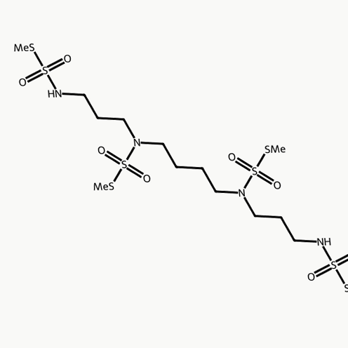 CSS(=O)(=O)NCCCN(CCCCN(CCCNS(=O)(=O)SC)S(=O)(=O)SC)S(=O)(=O)SC